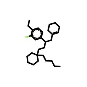 CCCCCC1(CCC(CC2=CCCCC2)c2ccc(CC)c(F)c2)CCCCC1